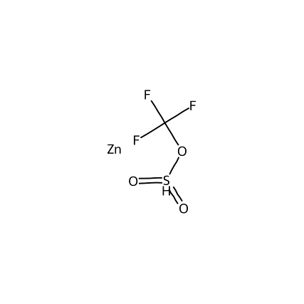 O=[SH](=O)OC(F)(F)F.[Zn]